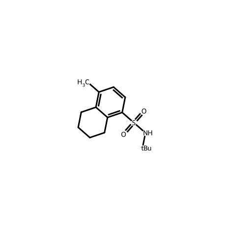 Cc1ccc(S(=O)(=O)NC(C)(C)C)c2c1CCCC2